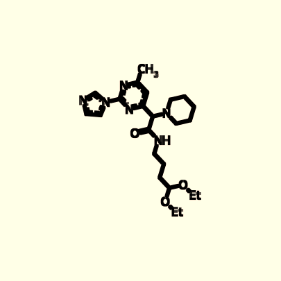 CCOC(CCCNC(=O)C(c1cc(C)nc(-n2ccnc2)n1)N1CCCCC1)OCC